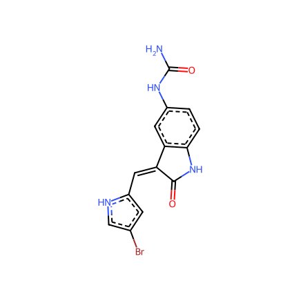 NC(=O)Nc1ccc2c(c1)/C(=C/c1cc(Br)c[nH]1)C(=O)N2